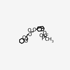 CC(F)(F)C(=O)OC1C2CC3CC1CC(OCC(=O)OCC1COC4(CCCCC4)O1)(C3)C2